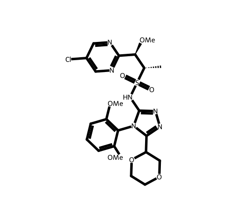 COc1cccc(OC)c1-n1c(NS(=O)(=O)[C@@H](C)[C@H](OC)c2ncc(Cl)cn2)nnc1C1COCCO1